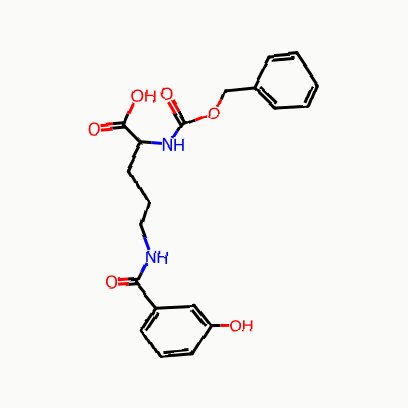 O=C(NC(CCCNC(=O)c1cccc(O)c1)C(=O)O)OCc1ccccc1